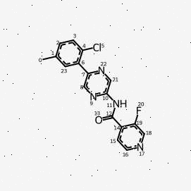 Cc1ccc(Cl)c(-c2cnc(NC(=O)c3ccncc3F)cn2)c1